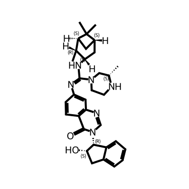 C[C@H]1[C@@H](NC(=Nc2ccc3c(=O)n([C@@H]4c5ccccc5C[C@@H]4O)cnc3c2)N2CCN[C@@H](C)C2)C[C@@H]2C[C@@H]1C2(C)C